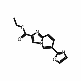 CCOC(=O)c1cn2cc(-c3ncco3)ccc2n1